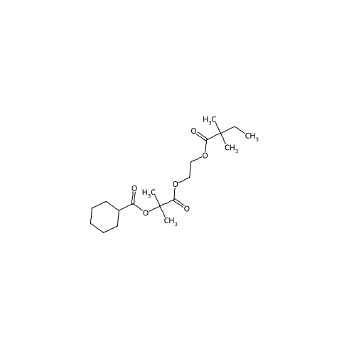 CCC(C)(C)C(=O)OCCOC(=O)C(C)(C)OC(=O)C1CCCCC1